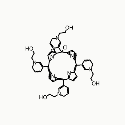 OCCN1C=C(C2=C3C=CC(=N3)C(C3=CN(CCO)CC=C3)=c3ccc([nH]3)=C(C3=CN(CCO)CC=C3)C3=NC(Cl)(C=C3)C(Cl)(C3=CN(CCO)CC=C3)c3ccc2[nH]3)C=CC1